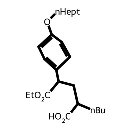 CCCCCCCOc1ccc(C(CC(CCCC)C(=O)O)C(=O)OCC)cc1